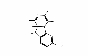 COc1ccc2c(c1)C1C(C(=O)O)=C(C)N=C(C)C1(C(=O)O)C2C